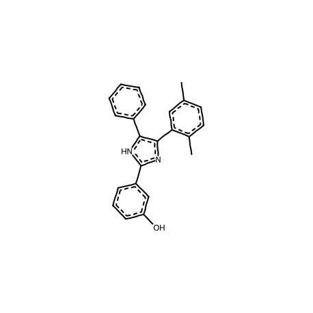 Cc1ccc(C)c(-c2nc(-c3cccc(O)c3)[nH]c2-c2ccccc2)c1